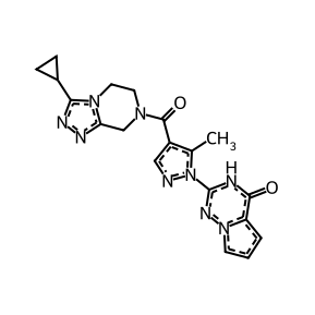 Cc1c(C(=O)N2CCn3c(nnc3C3CC3)C2)cnn1-c1nn2cccc2c(=O)[nH]1